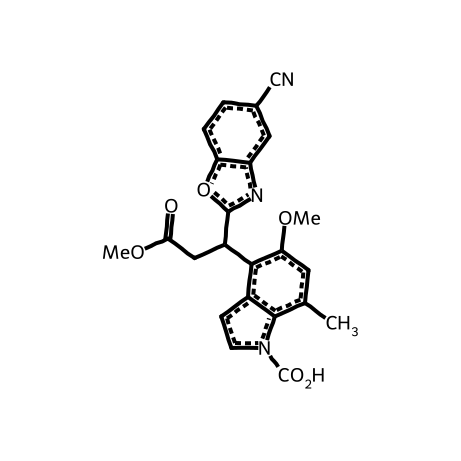 COC(=O)CC(c1nc2cc(C#N)ccc2o1)c1c(OC)cc(C)c2c1ccn2C(=O)O